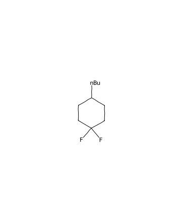 CCCCC1CCC(F)(F)CC1